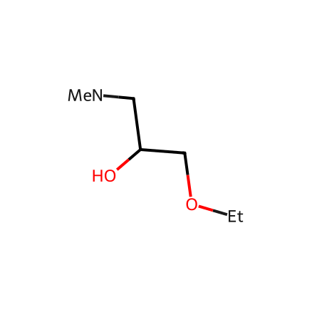 CCOCC(O)CNC